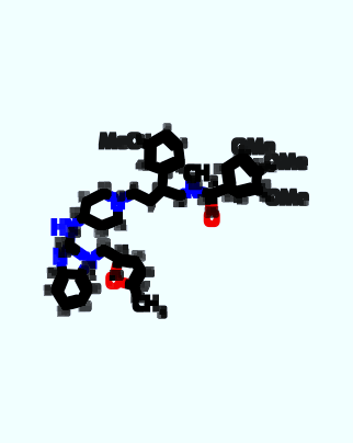 COc1cccc(C(CCN2CCC(Nc3nc4ccccc4n3Cc3ccc(C)o3)CC2)CN(C)C(=O)c2cc(OC)c(OC)c(OC)c2)c1